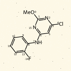 COc1nc(Cl)cc(Nc2ccccc2F)n1